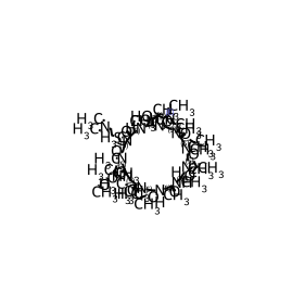 C/C=C/C[C@@H](C)[C@@H](O)[C@H]1C(=O)N[C@@H](CC)C(=O)N(C)[C@H](CSCCN(CC)CC)C(=O)N(C)[C@@H](CC(C)(C)OCOCC)C(=O)N[C@@H](C(C)C)C(=O)N(C)[C@@H](CC(C)C)C(=O)N[C@@H](C)C(=O)N[C@H](C)C(=O)N(C)[C@@H](CC(C)C)C(=O)N(C)[C@@H](CC(C)C)C(=O)N(C)[C@@H](C(C)C)C(=O)N1C